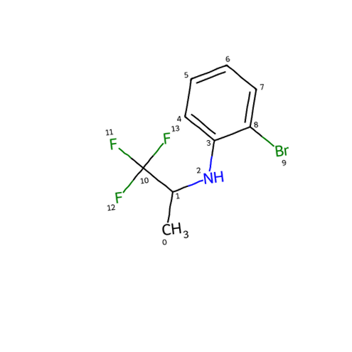 CC(Nc1ccccc1Br)C(F)(F)F